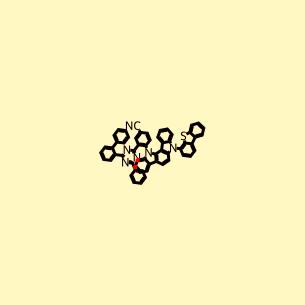 N#Cc1ccc(-n2c3ccccc3c3ccc4c(c5ccccc5n4-c4cccc5c4sc4ccccc45)c32)c(-c2nc(-c3ccccc3)nc(-c3ccccc3-c3ccccc3)n2)c1